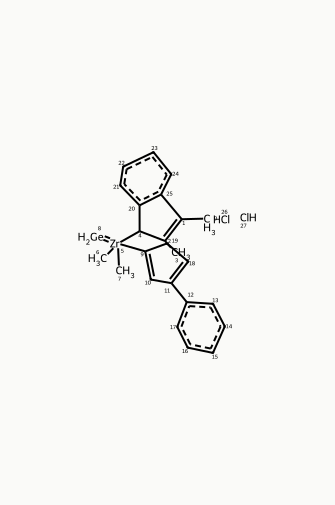 CC1=C(C)[CH]([Zr]([CH3])([CH3])(=[GeH2])[C]2=CC(c3ccccc3)=CC2)c2ccccc21.Cl.Cl